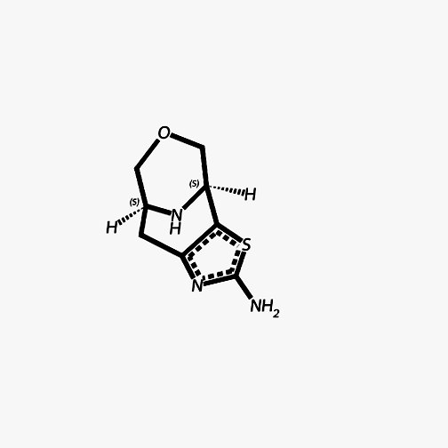 Nc1nc2c(s1)[C@@H]1COC[C@H](C2)N1